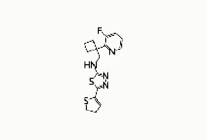 Fc1cccnc1C1(CNc2nnc(C3=CCCS3)s2)CCC1